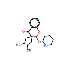 C1CCNCC1.CCC1Oc2ccccc2C(=O)C1(CCC#N)CCC#N